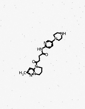 Cc1cc2n(n1)CCCN2C(=O)CCC(=O)Nc1ccc(N2CCNCC2)cn1